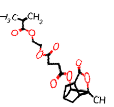 C=C(C)C(=O)OCCOC(=O)CCC(=O)OC1C2CC3C(=O)OC1(C)C3C2